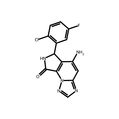 Nc1cc2ncnn2c2c1C(c1cc(F)ccc1Cl)NC2=O